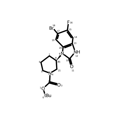 CC(C)(C)OC(=O)N1CCC[C@@H](n2c(=O)[nH]c3cc(F)c(Br)cc32)C1